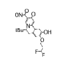 CC(C)(C)C1Cc2cc(OCCC(F)F)c(O)cc2-c2cc(=O)c(C(=O)N=O)cn21